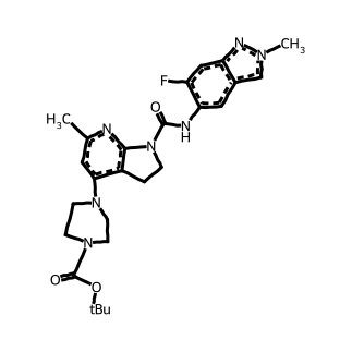 Cc1cc(N2CCN(C(=O)OC(C)(C)C)CC2)c2c(n1)N(C(=O)Nc1cc3cn(C)nc3cc1F)CC2